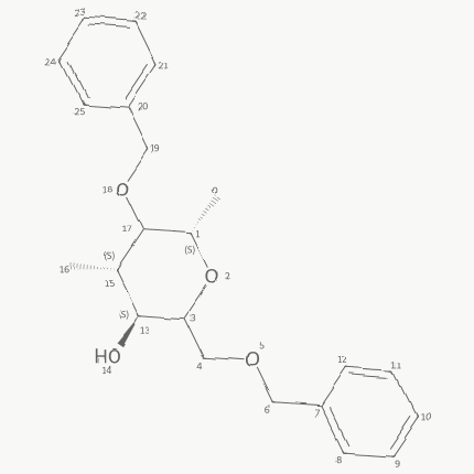 C[C@@H]1OC(COCc2ccccc2)[C@@H](O)[C@H](C)C1OCc1ccccc1